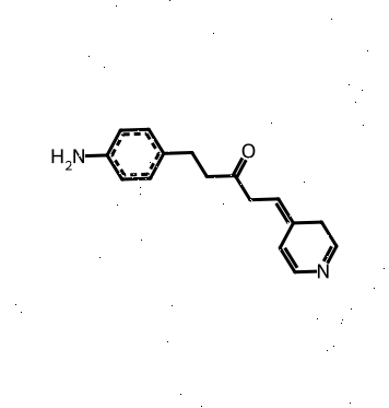 Nc1ccc(CCC(=O)C/C=C2\C=CN=CC2)cc1